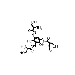 NC(CO)C(=O)/N=N/c1cc(/N=N/C(=O)C(N)CO)c(O)c(/N=N/C(=O)C(N)CO)c1O